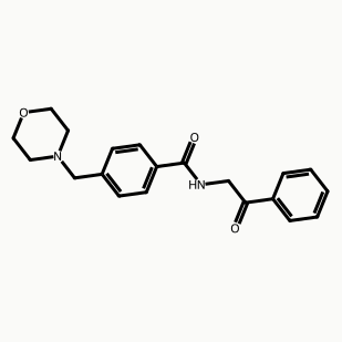 O=C(CNC(=O)c1ccc(CN2CCOCC2)cc1)c1ccccc1